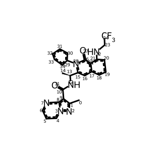 Cc1nn2cccnc2c1C(=O)N[C@@H](C)c1cc2cccc(NCC(F)(F)F)c2c(=O)n1-c1ccccc1